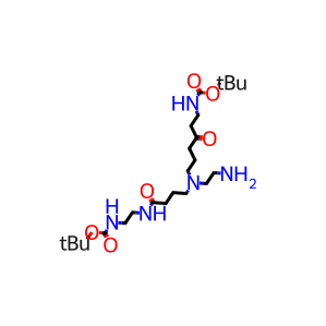 CC(C)(C)OC(=O)NCCNC(=O)CCCN(CCN)CCCC(=O)CCNC(=O)OC(C)(C)C